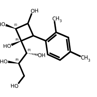 Cc1ccc(C2C(O)[C@H](O)[C@@]2(O)[C@H](O)[C@H](O)CO)c(C)c1